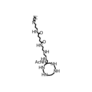 CC(=O)NC1(CNCCNCCNC(=O)CCCC(=O)NCCCN=[N+]=[N-])CNCCNCCCNCCNC1